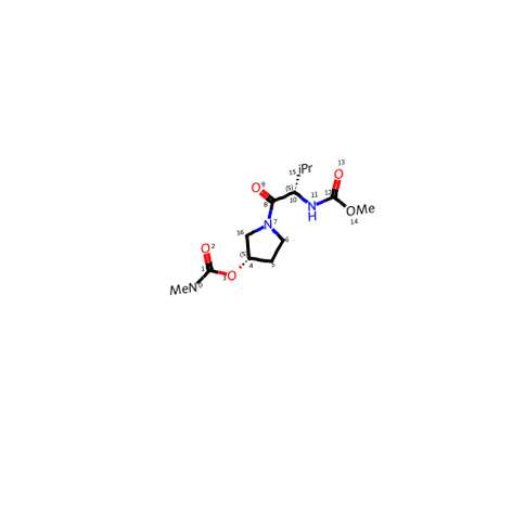 CNC(=O)O[C@H]1CCN(C(=O)[C@@H](NC(=O)OC)C(C)C)C1